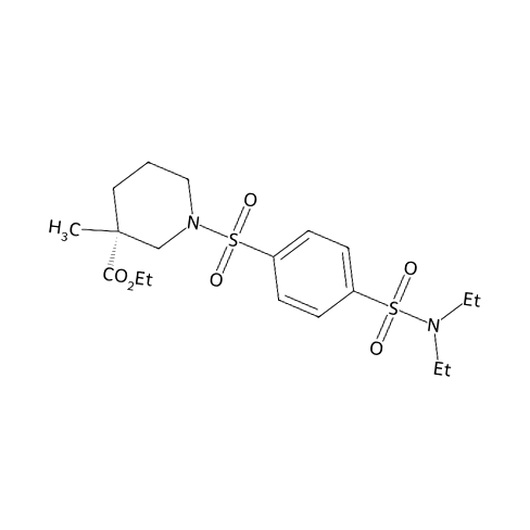 CCOC(=O)[C@]1(C)CCCN(S(=O)(=O)c2ccc(S(=O)(=O)N(CC)CC)cc2)C1